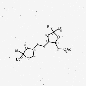 CCC1(CC)OCC(CCC2OC(CC)(CC)OC2COC(C)=O)O1